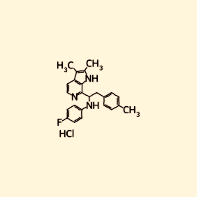 Cc1ccc(CC(Nc2ccc(F)cc2)c2nccc3c(C)c(C)[nH]c23)cc1.Cl